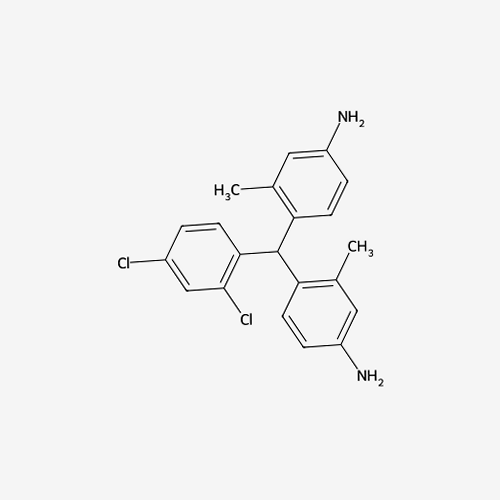 Cc1cc(N)ccc1C(c1ccc(N)cc1C)c1ccc(Cl)cc1Cl